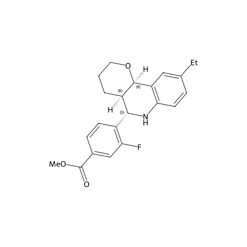 CCc1ccc2c(c1)[C@@H]1OCCC[C@@H]1[C@@H](c1ccc(C(=O)OC)cc1F)N2